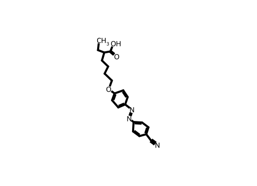 CCC(CCCCOc1ccc(N=Nc2ccc(C#N)cc2)cc1)C(=O)O